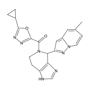 Cc1ccn2nc(C3c4nc[nH]c4CCN3C(=O)c3nnc(C4CC4)o3)cc2c1